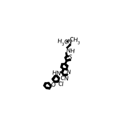 CN(C)CCNCc1cc(-c2ccc3c(Nc4ccc(Oc5ccccc5)c(Cl)c4)c(C#N)cnc3c2)cs1